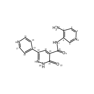 Nc1ccncc1NC(=O)c1cc(-c2ccncc2)n[nH]c1=O